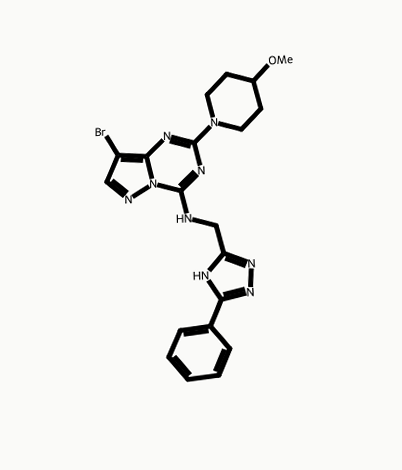 COC1CCN(c2nc(NCc3nnc(-c4ccccc4)[nH]3)n3ncc(Br)c3n2)CC1